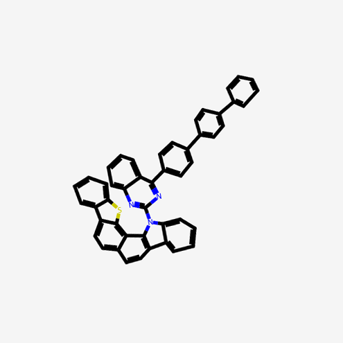 c1ccc(-c2ccc(-c3ccc(-c4nc(-n5c6ccccc6c6ccc7ccc8c9ccccc9sc8c7c65)nc5ccccc45)cc3)cc2)cc1